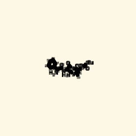 CC(C)(C)C(=O)OC[C@@]1(C(=O)O)N2C(=O)C(NC(=O)C(N)c3ccccc3)[C@H]2SC1(C)C